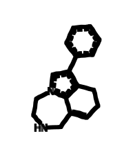 C1=C2CNCCn3cc(-c4ccccc4)c(c32)CC1